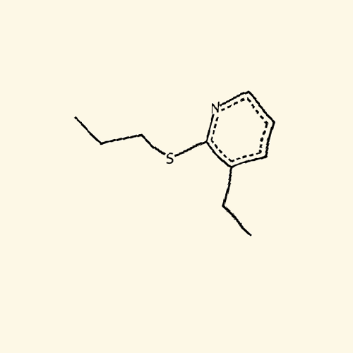 CCCSc1ncccc1CC